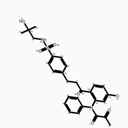 CC(=O)C(=O)N(c1ccccc1)c1cc(Cl)ccc1C(=O)CCc1ccc(S(=O)(=O)NCC(C)(C)O)cc1